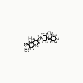 CCc1cc2ccc(CN3CCN(c4ccccc4Cl)CC3)cc2[nH]c1=O